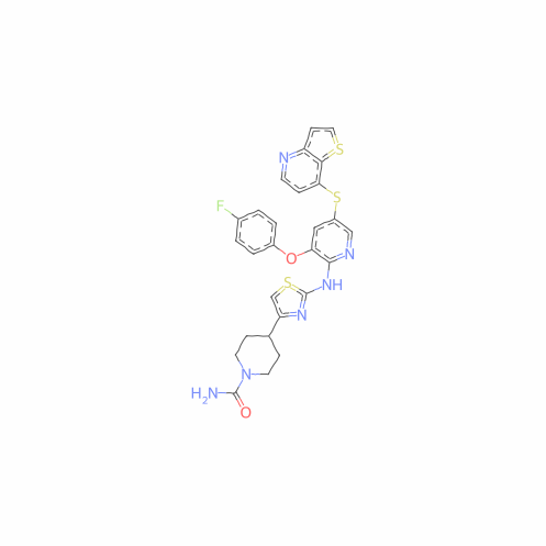 NC(=O)N1CCC(c2csc(Nc3ncc(Sc4ccnc5ccsc45)cc3Oc3ccc(F)cc3)n2)CC1